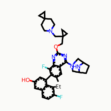 CCc1c(F)ccc2cc(O)cc(-c3c(C)cc4c(N5CC6CCC(C5)N6)nc(OCC5(CN6CCC7(CC6)CC7)CC5)nc4c3F)c12